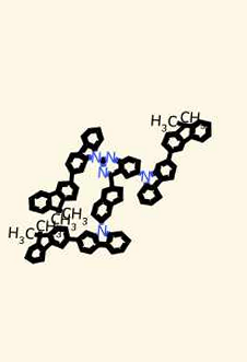 CC1(C)c2ccccc2-c2cc(-c3ccc4c5ccccc5n(-c5ccc6cc(-c7nc(-n8c9ccccc9c9ccc(-c%10ccc%11c(c%10)-c%10ccccc%10C%11(C)C)cc98)nc8ccc(-n9c%10ccccc%10c%10ccc(-c%11ccc%12c(c%11)-c%11ccccc%11C%12(C)C)cc%109)cc78)ccc6c5)c4c3)ccc21